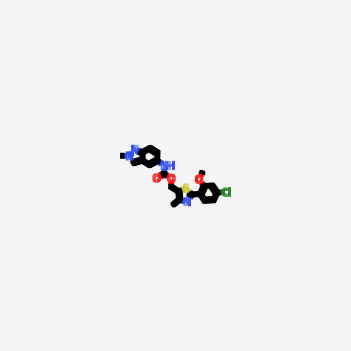 COc1cc(Cl)ccc1-c1nc(C)c(COC(=O)Nc2ccc3nn(C)cc3c2)s1